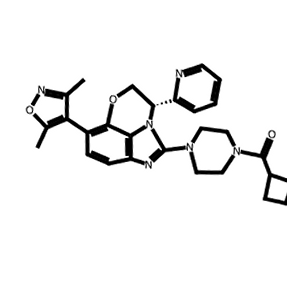 Cc1noc(C)c1-c1ccc2nc(N3CCN(C(=O)C4CCC4)CC3)n3c2c1OC[C@@H]3c1ccccn1